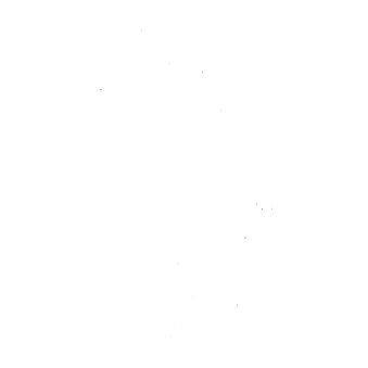 O=C1c2cc(O)ccc2N=CC1c1ccc(O)c(Br)c1